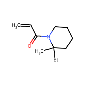 C=CC(=O)N1CCCCC1(C)CC